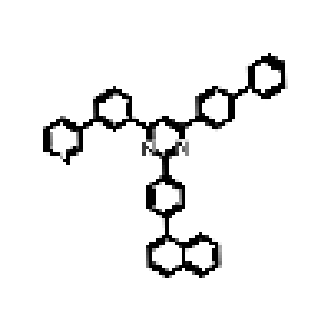 c1ccc(-c2ccc(-c3cc(-c4cccc(-c5cccnc5)c4)nc(-c4ccc(-c5cccc6ccccc56)cc4)n3)cc2)cc#1